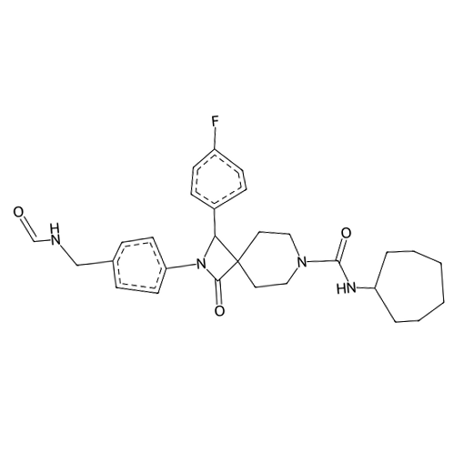 O=CNCc1ccc(N2C(=O)C3(CCN(C(=O)NC4CCCCCC4)CC3)C2c2ccc(F)cc2)cc1